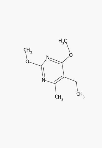 CCc1c(C)nc(OC)nc1OC